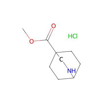 COC(=O)C12CCC(CC1)NC2.Cl